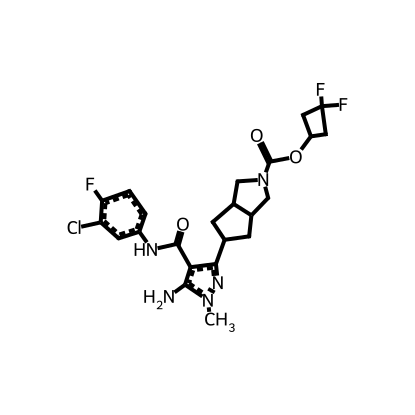 Cn1nc(C2CC3CN(C(=O)OC4CC(F)(F)C4)CC3C2)c(C(=O)Nc2ccc(F)c(Cl)c2)c1N